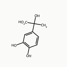 CC(O)(C(=O)O)c1ccc(O)c(O)c1